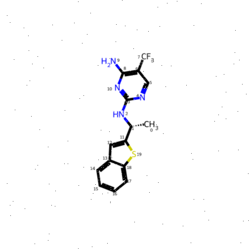 C[C@@H](Nc1ncc(C(F)(F)F)c(N)n1)c1cc2ccccc2s1